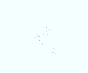 COc1cc2[nH]nc(-c3cnc(N4CCC4)c(S(C)(=O)=O)c3)c2cc1O[C@H](C)c1c(Cl)cncc1Cl